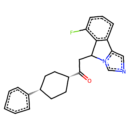 O=C(CC1c2c(F)cccc2-c2cncn21)[C@H]1CC[C@@H](c2ccccc2)CC1